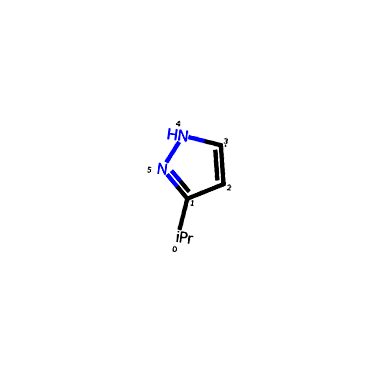 CC(C)c1c[c][nH]n1